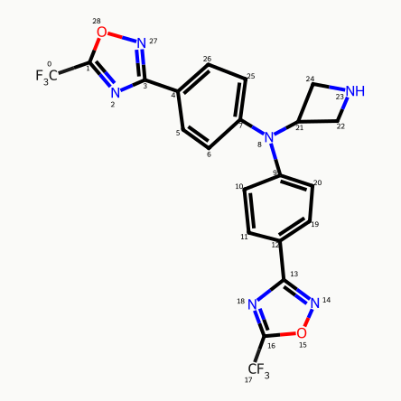 FC(F)(F)c1nc(-c2ccc(N(c3ccc(-c4noc(C(F)(F)F)n4)cc3)C3CNC3)cc2)no1